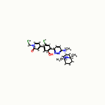 CN(c1ccc(-c2cc(F)c(-c3ccn(CF)c(=O)c3)cc2O)nn1)[C@H]1C[C@]2(C)CCC[C@](C)(C1)N2